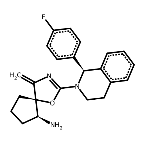 C=C1N=C(N2CCc3ccccc3[C@@H]2c2ccc(F)cc2)O[C@@]12CCC[C@@H]2N